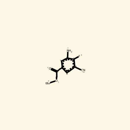 CC(C)(C)OC(=O)c1cc(N)c(F)c(C#N)c1